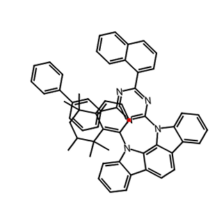 CC1CC(C)(C)c2cccc(-n3c4ccccc4c4ccc5c6ccccc6n(-c6nc(-c7cccc(-c8ccccc8)c7)nc(-c7cccc8ccccc78)n6)c5c43)c2C1(C)C